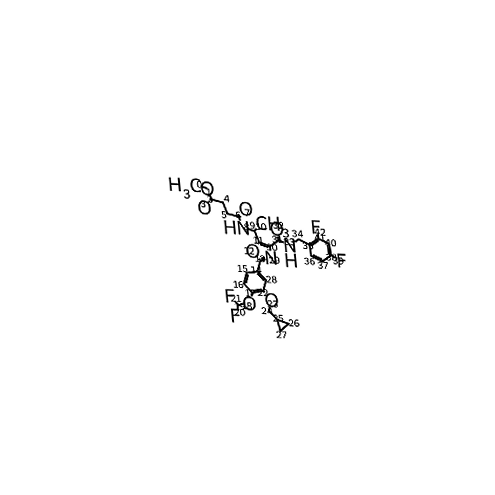 COC(=O)CCC(=O)NC(C)c1oc(-c2ccc(OC(F)F)c(OCC3CC3)c2)nc1C(=O)NCc1ccc(F)cc1F